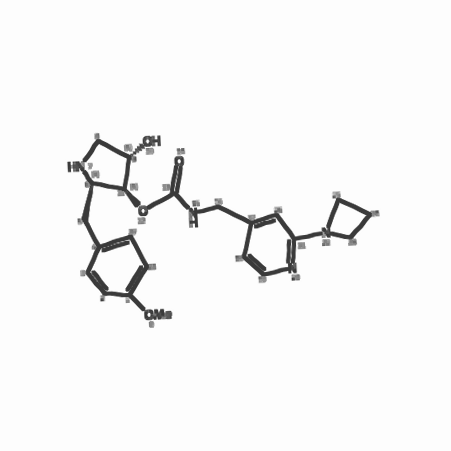 COc1ccc(C[C@H]2NC[C@H](O)[C@H]2OC(=O)NCc2ccnc(N3CCC3)c2)cc1